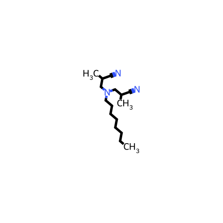 CCCCCCCCN(CC(C)C#N)CC(C)C#N